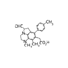 Cc1ccc(-c2c(CC(=O)O)c(C)c3c4c2CC(C=O)N4CCN3C)cc1